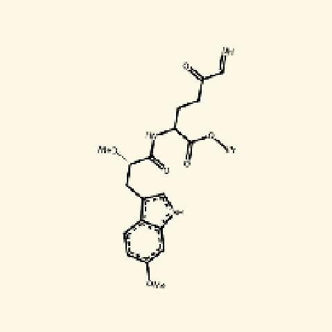 COc1ccc2c(C[C@H](OC)C(=O)N[C@@H](CCC(=O)C=N)C(=O)OC(C)C)c[nH]c2c1